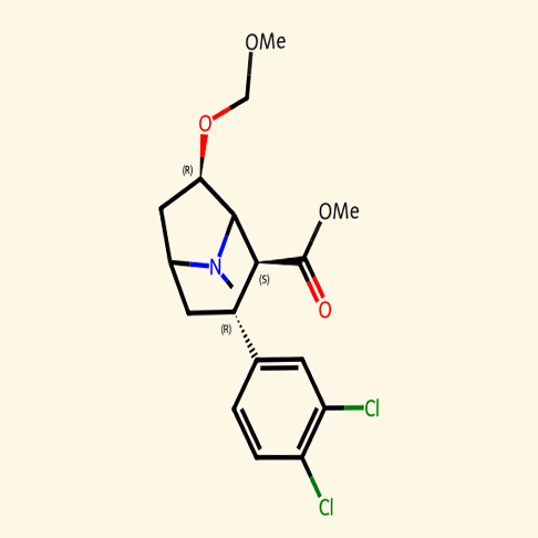 COCO[C@@H]1CC2C[C@@H](c3ccc(Cl)c(Cl)c3)[C@H](C(=O)OC)C1N2C